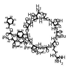 CC[C@H](C)[C@@H]1NC(=O)[C@@H](CCCNC(=N)N)NC(=O)[C@H](CC(C)C)NC(=O)[C@H]([C@H](O)C(C)C)NC(=O)[C@@H](NC(=O)[C@H](CC(C)C)NC(=O)[C@@H](CC(C)C)NC(=O)OCc2ccccc2)[C@@H](c2ccccc2)OC(=O)C(CO)NC(=O)[C@H]([C@H](O)C(N)=O)NC(=O)CNC(=O)[C@H]([C@H](C)O)NC1=O